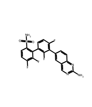 Nc1ncc2cc(-c3c(F)ccc(-c4c(S(N)(=O)=O)ccc(F)c4F)c3F)ccc2n1